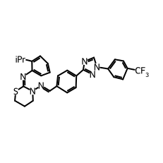 CC(C)c1ccccc1N=C1SCCCN1N=Cc1ccc(-c2ncn(-c3ccc(C(F)(F)F)cc3)n2)cc1